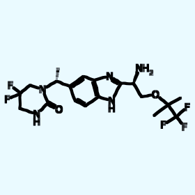 C[C@H](c1ccc2[nH]c([C@@H](N)COC(C)(C)C(F)(F)F)nc2c1)N1CC(F)(F)CNC1=O